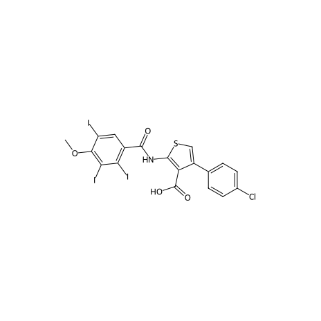 COc1c(I)cc(C(=O)Nc2scc(-c3ccc(Cl)cc3)c2C(=O)O)c(I)c1I